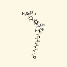 CN(C)C1=CC=C(c2ccc(/C=C(\C#N)C(=S)NCCOCCOCCCCCCCl)s2)C1